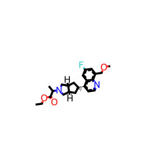 CCOC(=O)C(C)N1C[C@H]2C[C@@H](c3ccnc4c(COC)cc(F)cc34)C[C@H]2C1